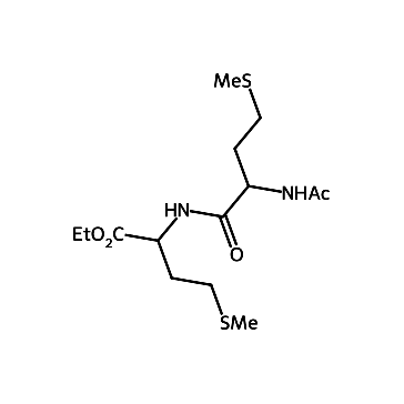 CCOC(=O)C(CCSC)NC(=O)C(CCSC)NC(C)=O